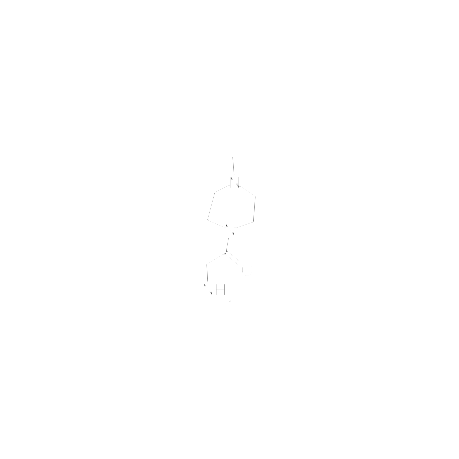 CN1CCN(C(=O)CN)CC1